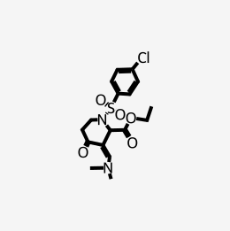 CCOC(=O)C1C(=CN(C)C)C(=O)CCN1S(=O)(=O)c1ccc(Cl)cc1